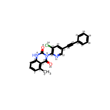 Cc1cccc2[nH]c(=O)n(-c3ncc(C#Cc4ccccc4)cc3Cl)c(=O)c12